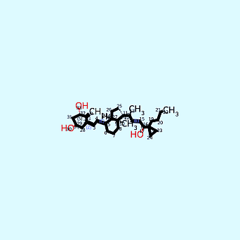 C=C1/C(=C\C=C2/CCC[C@]3(C)[C@@H]([C@H](C)/C=C/[C@H](O)C4(CCCC)CC4)CC[C@@H]23)C[C@@H](O)C[C@@H]1O